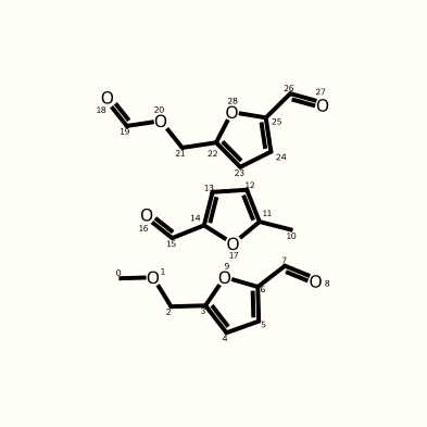 COCc1ccc(C=O)o1.Cc1ccc(C=O)o1.O=COCc1ccc(C=O)o1